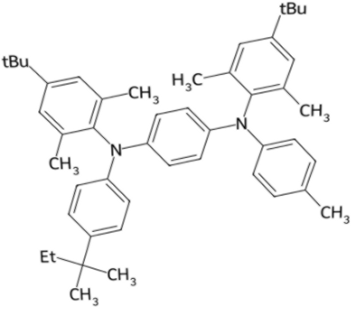 CCC(C)(C)c1ccc(N(c2ccc(N(c3ccc(C)cc3)c3c(C)cc(C(C)(C)C)cc3C)cc2)c2c(C)cc(C(C)(C)C)cc2C)cc1